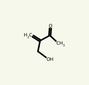 C=C(CO)C(C)=O